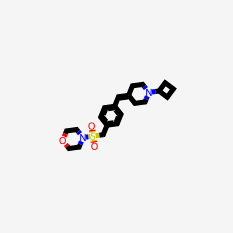 O=S(=O)(Cc1ccc(C=C2CCN(C3CCC3)CC2)cc1)N1CCOCC1